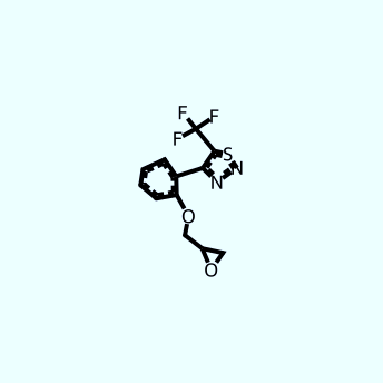 FC(F)(F)c1snnc1-c1ccccc1OCC1CO1